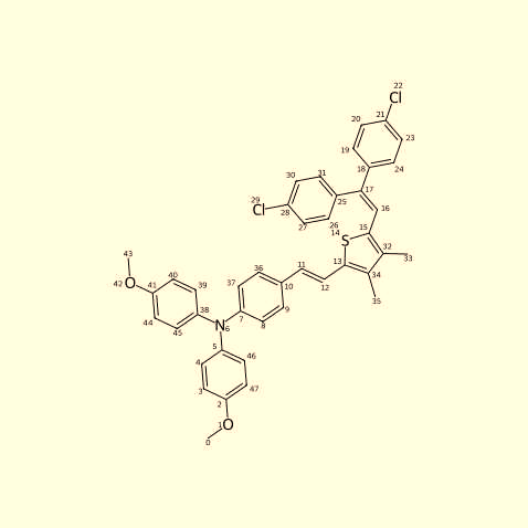 COc1ccc(N(c2ccc(C=Cc3sc(C=C(c4ccc(Cl)cc4)c4ccc(Cl)cc4)c(C)c3C)cc2)c2ccc(OC)cc2)cc1